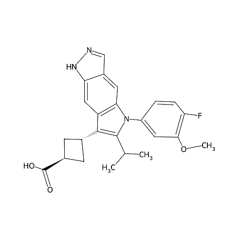 COc1cc(-n2c(C(C)C)c([C@H]3C[C@H](C(=O)O)C3)c3cc4[nH]ncc4cc32)ccc1F